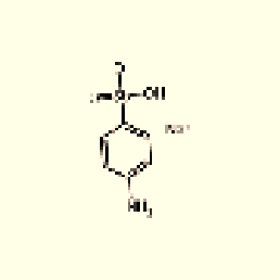 Nc1cc[c]([Sb](=[O])([O-])[OH])cc1.[Na+]